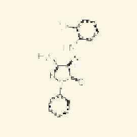 CC1=NN(c2ccccc2)C(=O)/C1=N/Nc1ccccc1Cl